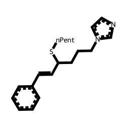 CCCCCSC(C=Cc1ccccc1)CCCn1ccnc1